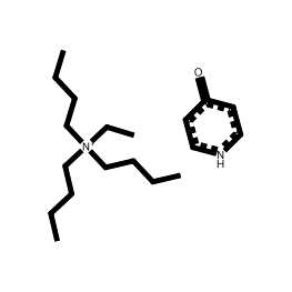 CCCC[N+](CC)(CCCC)CCCC.O=c1cc[nH]cc1